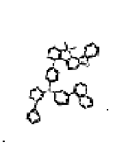 CC1(C)c2cccc(-c3ccc(N(c4cccc(-c5ccccc5)c4)c4cccc(-c5cccc6ccccc56)c4)cc3)c2-c2ccc3oc4ccccc4c3c21